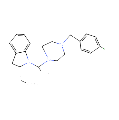 COC[C@@H]1Cc2ccccc2N1C(C=O)N1CCN(Cc2ccc(Cl)cc2)CC1